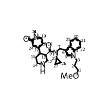 COCCCn1cc(CN(C(=O)[C@H]2CNCCC2c2ccn(C)c(=O)c2)C2CC2)c2ccccc21